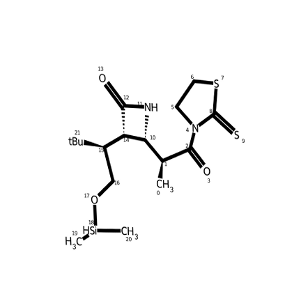 C[C@H](C(=O)N1CCSC1=S)[C@H]1NC(=O)[C@H]1[C@@H](CO[SiH](C)C)C(C)(C)C